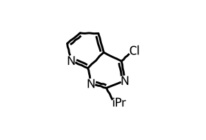 CC(C)c1nc(Cl)c2cccnc2n1